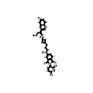 N=C/C(=C\NC1CC(CCCNc2ccc3c(c2)C(=O)N(C2CCC(=O)NC2=O)C3=O)C1)c1cnc2ccc(F)cc2n1